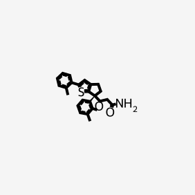 Cc1ccccc1-c1cc2c(s1)[C@](C(=O)CC(N)=O)(c1cccc(C)c1C)CC2